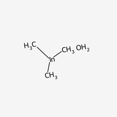 O.[CH3][In]([CH3])[CH3]